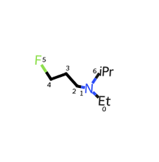 CCN(CCCF)C(C)C